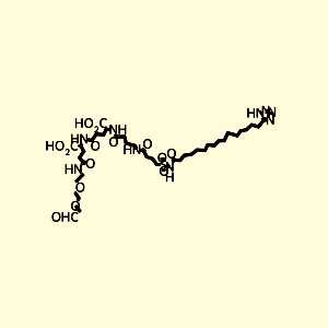 O=CCOCCOCCNC(=O)CC[C@H](NC(=O)CC[C@H](NC(=O)CCCNC(=O)CCCS(=O)(=O)NC(=O)CCCCCCCCCCCCCCCc1nnn[nH]1)C(=O)O)C(=O)O